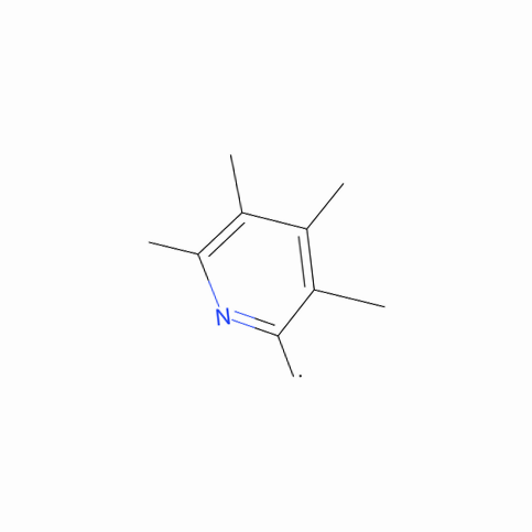 [CH2]c1nc(C)c(C)c(C)c1C